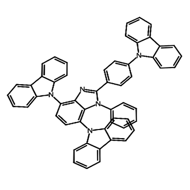 c1ccc(-n2c(-c3ccc(-n4c5ccccc5c5ccccc54)cc3)nc3c(-n4c5ccccc5c5ccccc54)ccc(-n4c5ccccc5c5ccccc54)c32)cc1